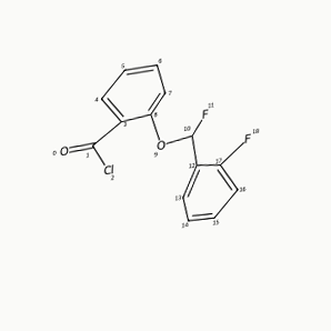 O=C(Cl)c1ccccc1OC(F)c1ccccc1F